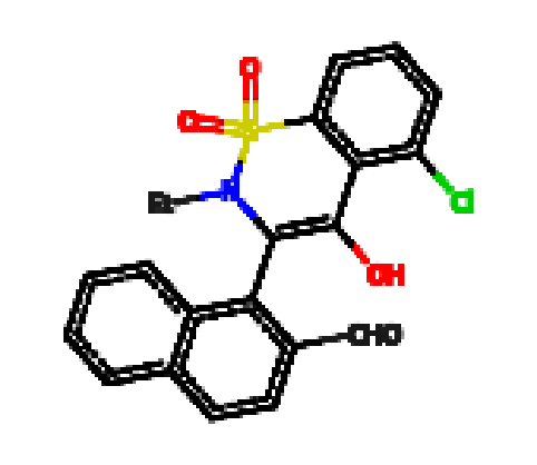 CCN1C(c2c(C=O)ccc3ccccc23)=C(O)c2c(Cl)cccc2S1(=O)=O